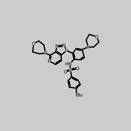 CC(C)(C)c1ccc(S(=O)(=O)Nc2ccc(N3CCOCC3)cc2-n2nnc3c(N4CCOCC4)nccc32)cc1